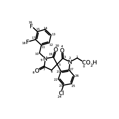 O=C(O)CN1C(=O)C2(CC(=O)N(Cc3cccc(F)c3F)C2=O)c2cc(Cl)ccc21